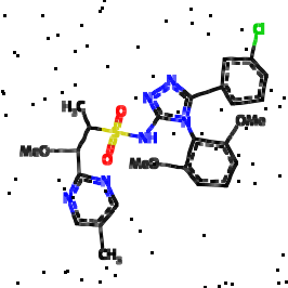 COc1cccc(OC)c1-n1c(NS(=O)(=O)C(C)C(OC)c2ncc(C)cn2)nnc1-c1cccc(Cl)c1